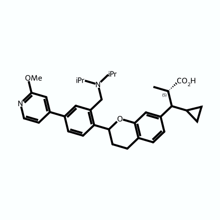 COc1cc(-c2ccc(C3CCc4ccc(C(C5CC5)[C@H](C)C(=O)O)cc4O3)c(CN(C(C)C)C(C)C)c2)ccn1